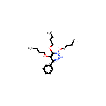 CCCCOC1=C(OCCCC)N(OCCCC)NN=C1c1ccccc1